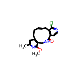 COc1nc(C)cc2c1CNC(=O)c1ccnc(Cl)c1C/C=C/CC2